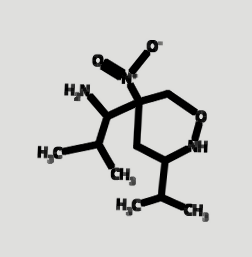 CC(C)C1CC(C(N)C(C)C)([N+](=O)[O-])CON1